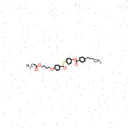 C=CC(=O)OCCCCOc1ccc(C(=O)Sc2ccc(OC(=O)c3ccc(CCCC)cc3)cc2)cc1